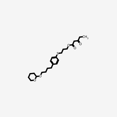 CCC(=O)CC(=O)OCCCSc1ccc(CCCCOC2CCCCO2)cc1